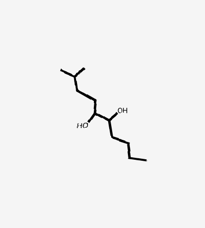 CCCCC(O)C(O)CCC(C)C